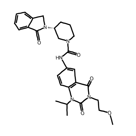 COCCn1c(=O)c2cc(NC(=O)N3CCC[C@@H](N4Cc5ccccc5C4=O)C3)ccc2n(C(C)C)c1=O